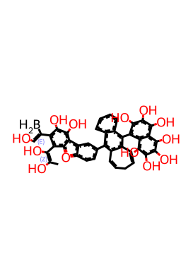 B/C(=C\O)c1c(O)c(O)c2c(oc3ccc(-c4c5c(c(-c6c(O)c(O)c(O)c7c(O)c(O)c(O)c(O)c67)c6ccccc46)C=CCC=C5)cc32)c1/C(O)=C(\C)O